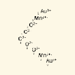 [Au+3].[Au+3].[Mn+2].[Mn+2].[O-2].[O-2].[O-2].[O-2].[O-2]